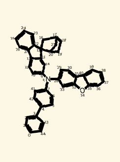 c1ccc(-c2ccc(N(c3ccc4c(c3)C3(CC5CCC3C5)c3ccccc3-4)c3ccc4c(c3)oc3ccccc34)cc2)cc1